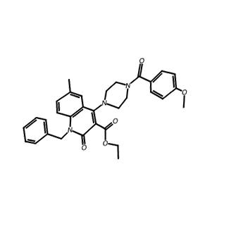 CCOC(=O)c1c(N2CCN(C(=O)c3ccc(OC)cc3)CC2)c2cc(C)ccc2n(Cc2ccccc2)c1=O